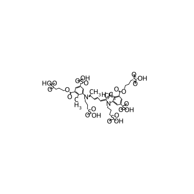 C\C(=C/C=C/C(C)=[N+](\CCCS(=O)(=O)O)c1cc(S(=O)(=O)O)cc(C(=O)OCCCS(=O)(=O)O)c1C)N(CCCS(=O)(=O)O)c1cc(S(=O)(=O)O)cc(C(=O)OCCCS(=O)(=O)O)c1C